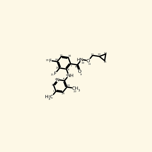 Cc1cnc(Nc2c(C(=O)NOCC3CC3)ccc(F)c2F)c(C)c1